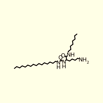 CCCCCCCCCCCCCCCCNC(=O)NC(CCCCN)C(=O)NCCCCCCCC